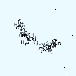 C[C@@H]1C[C@H](OCCC[C@H]2CC[C@H](N3C(=S)N(c4cnc(C#N)c(C(F)(F)F)c4)C(=O)C3(C)C)CC2)C[C@H](C)N1CC(=O)Nc1ccc(C2CCC(=O)NC2=O)cc1